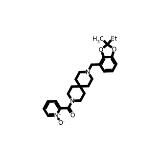 CCC1(C)Oc2cccc(CN3CCC4(CC3)CCN(C(=O)c3cccc[n+]3[O-])CC4)c2O1